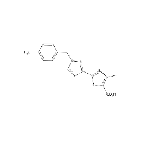 Cc1nc(-c2ccn(Cc3ccc(C(F)(F)F)cc3)n2)sc1C(=O)O